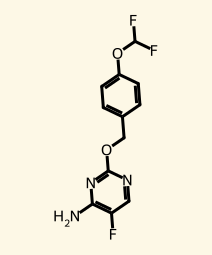 Nc1nc(OCc2ccc(OC(F)F)cc2)ncc1F